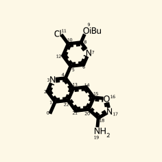 Cc1cnc(-c2cnc(OCC(C)C)c(Cl)c2)c2cc3onc(N)c3cc12